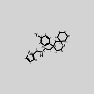 Fc1ccc(C2(CCNCc3cccs3)CCOC3(CCCCC3)C2)cc1